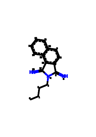 CCCCN1C(=N)c2ccc3ccccc3c2C1=N